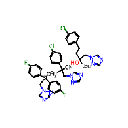 CC(C)(C)C(O)(CCc1ccc(Cl)cc1)Cn1cncn1.CCCCC(C#N)(Cn1cncn1)c1ccc(Cl)cc1.C[Si](Cn1cncn1)(c1ccc(F)cc1)c1ccc(F)cc1